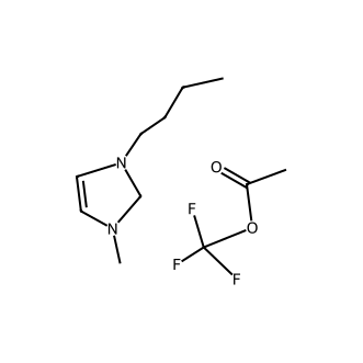 CC(=O)OC(F)(F)F.CCCCN1C=CN(C)C1